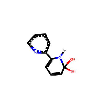 OC1(O)C=CC=C(c2ccccn2)[N]1[Ir]